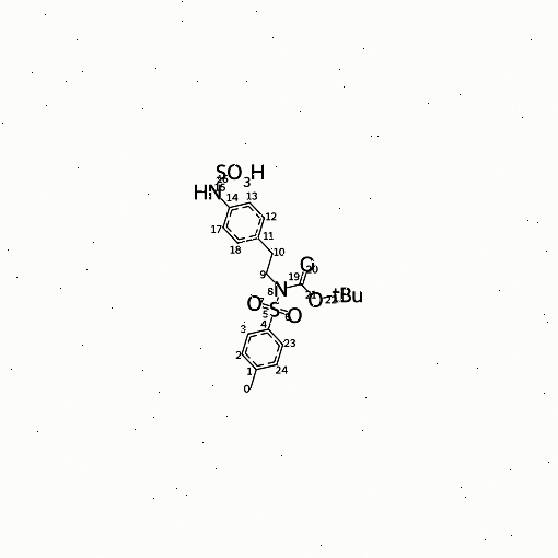 Cc1ccc(S(=O)(=O)N(CCc2ccc(NS(=O)(=O)O)cc2)C(=O)OC(C)(C)C)cc1